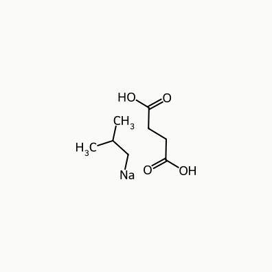 CC(C)[CH2][Na].O=C(O)CCC(=O)O